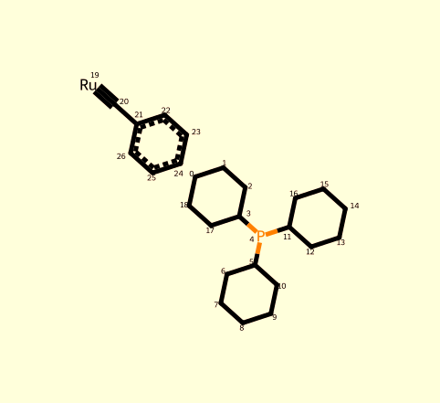 C1CCC(P(C2CCCCC2)C2CCCCC2)CC1.[Ru]#[C]c1ccccc1